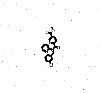 COC(=O)c1ccc(C(=O)N(Cc2cccc(Cl)c2)c2ccccn2)nc1